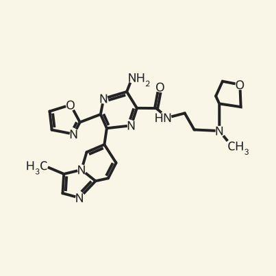 Cc1cnc2ccc(-c3nc(C(=O)NCCN(C)C4CCOC4)c(N)nc3-c3ncco3)cn12